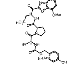 COc1cccc2nc(C(=O)[C@H](CC(=O)O)NC(=O)C3CCCN3C(=O)[C@@H](NC(=O)[C@H](Cc3ccc(O)cc3)NC(C)=O)C(C)C)oc12